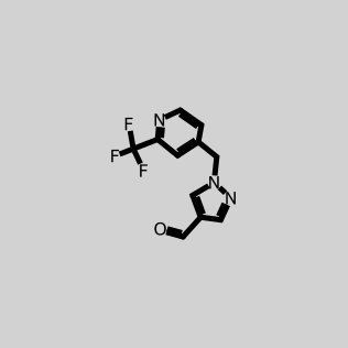 O=Cc1cnn(Cc2ccnc(C(F)(F)F)c2)c1